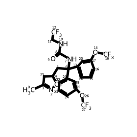 CC1=NOC(CC(NC(=O)NCC(F)(F)F)(c2cccc(OC(F)(F)F)c2)c2cccc(OC(F)(F)F)c2)C1